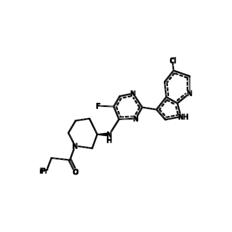 CC(C)CC(=O)N1CCC[C@@H](Nc2nc(-c3c[nH]c4ncc(Cl)cc34)ncc2F)C1